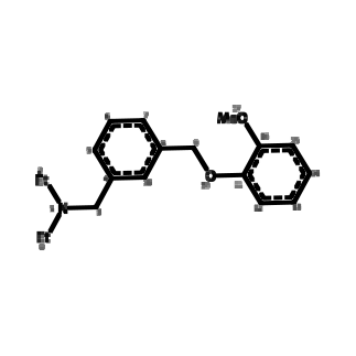 CCN(CC)Cc1cccc(COc2ccccc2OC)c1